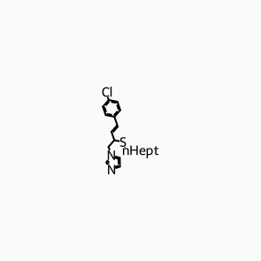 CCCCCCCSC(C=Cc1ccc(Cl)cc1)Cn1ccnc1